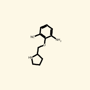 N#Cc1cccc(N)c1OCC1CCCN1